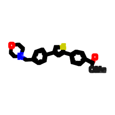 COC(=O)c1ccc(-c2cc(-c3ccc(CN4CCOCC4)cc3)cs2)cc1